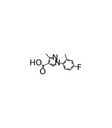 Cc1cc(F)ccc1-n1cc(C(=O)O)c(C)n1